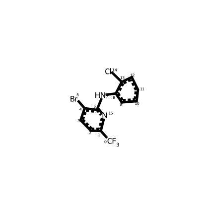 FC(F)(F)c1ccc(Br)c(Nc2ccccc2Cl)n1